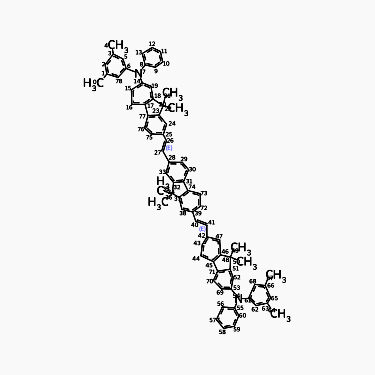 Cc1cc(C)cc(N(c2ccccc2)c2ccc3c(c2)C(C)(C)c2cc(/C=C/c4ccc5c(c4)C(C)(C)c4cc(/C=C/c6ccc7c(c6)C(C)(C)c6cc(N(c8ccccc8)c8cc(C)cc(C)c8)ccc6-7)ccc4-5)ccc2-3)c1